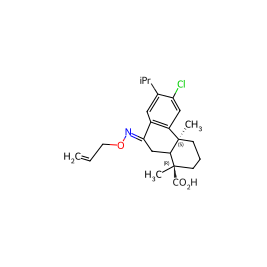 C=CCON=C1CC2[C@](C)(C(=O)O)CCC[C@]2(C)c2cc(Cl)c(C(C)C)cc21